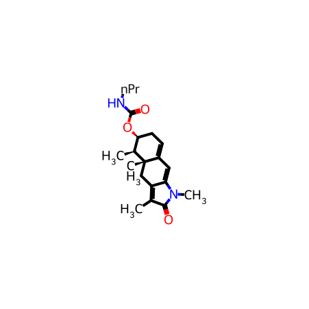 CCCNC(=O)O[C@H]1CC=C2C=C3C(=C(C)C(=O)N3C)C[C@]2(C)[C@H]1C